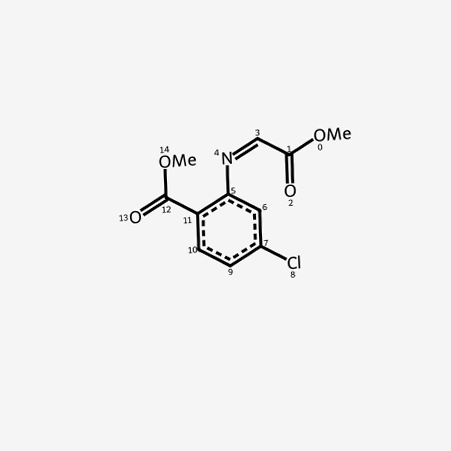 COC(=O)/C=N\c1cc(Cl)ccc1C(=O)OC